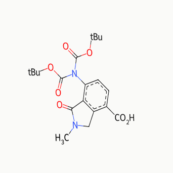 CN1Cc2c(C(=O)O)ccc(N(C(=O)OC(C)(C)C)C(=O)OC(C)(C)C)c2C1=O